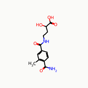 Cc1cc(C(=O)NCCC(O)C(=O)O)ccc1C(N)=O